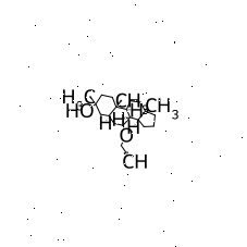 C#CCOC1C[C@H]2C[C@](C)(O)CC[C@]2(C)[C@H]2CC[C@]3(C)CCC[C@H]3[C@H]12